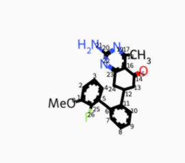 COc1cccc(-c2ccccc2C2CC(=O)c3c(C)nc(N)nc3C2)c1F